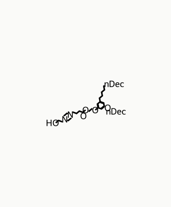 CCCCCCCCCCCCCCCc1cc(OCCCCCCCCCC)cc(OCCOC(=O)CCCN2CCN(CCO)CC2)c1